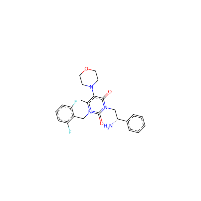 Cc1c(N2CCOCC2)c(=O)n(C[C@@H](N)c2ccccc2)c(=O)n1Cc1c(F)cccc1F